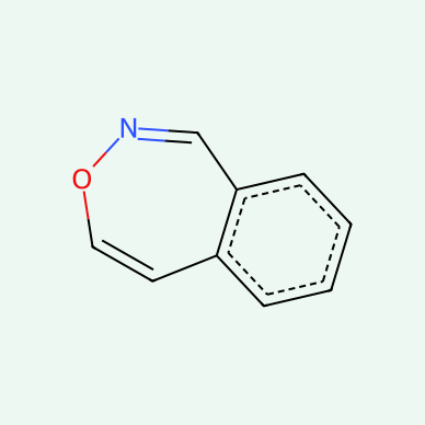 C1=Cc2ccccc2C=NO1